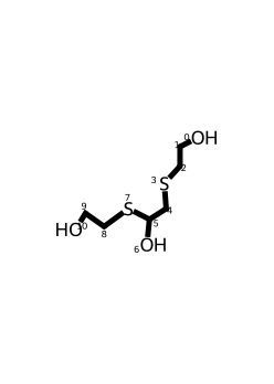 OCCSCC(O)SCCO